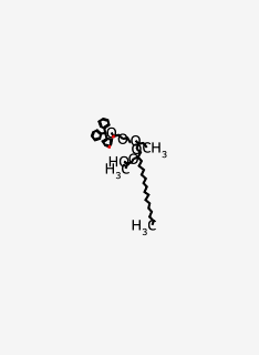 CCCCCCCCCCCCCCCCC(COC(CC)OCCOCCOC(c1ccccc1)(c1ccccc1)c1ccccc1)OCC(C)O